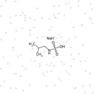 CC(C)CNS(=O)(=O)O.[NaH]